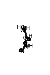 O=C(CCCCNC(=O)c1ccccc1Sc1ccc2c(C=Cc3ccccn3)n[nH]c2c1)NO